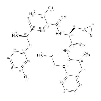 CCCOc1ccccc1C[C@@H](C)CNC(=O)[C@H](CC1CC1)NC(=O)[C@H](NC(=O)[C@H](C)Cc1cccc(Cl)c1)C(C)C